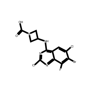 O=C(O)N1CC(Nc2nc(Cl)nc3c(F)c(Br)c(Cl)cc23)C1